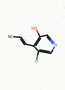 N#C/C=C/c1c(O)cncc1Cl